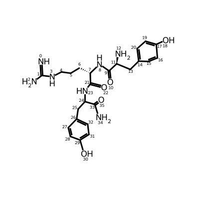 N=C(N)NCCC[C@H](NC(=O)[C@@H](N)Cc1ccc(O)cc1)C(=O)NC(Cc1ccc(O)cc1)C(N)=O